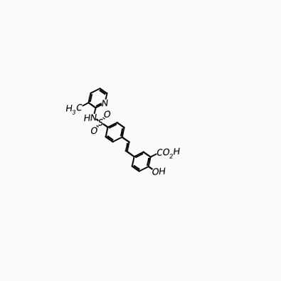 Cc1cccnc1NS(=O)(=O)c1ccc(C=Cc2ccc(O)c(C(=O)O)c2)cc1